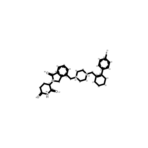 O=C1CCC(N2Cc3c(CN4CCN(CC5=C(c6ccc(F)cc6)CCCC5)CC4)cccc3C2=O)C(=O)N1